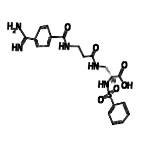 N=C(N)c1ccc(C(=O)NCCC(=O)NC[C@@H](NS(=O)(=O)c2ccccc2)C(=O)O)cc1